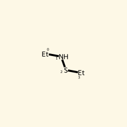 CCNSCC